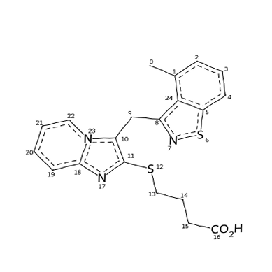 Cc1cccc2snc(Cc3c(SCCCC(=O)O)nc4ccccn34)c12